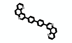 c1cnc2c(c1)ccc1ncc(-c3ccc(-c4ccc(-c5cnc6ccc7cccnc7c6c5)cc4)cc3)cc12